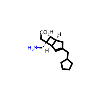 NC[C@]1(CC(=O)O)C[C@H]2CC(CC3CCCC3)=C[C@H]21